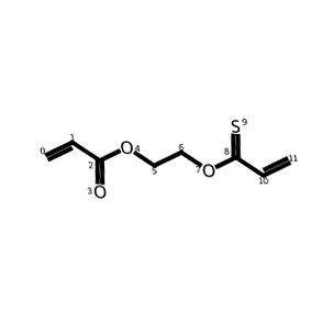 C=CC(=O)OCCOC(=S)C=C